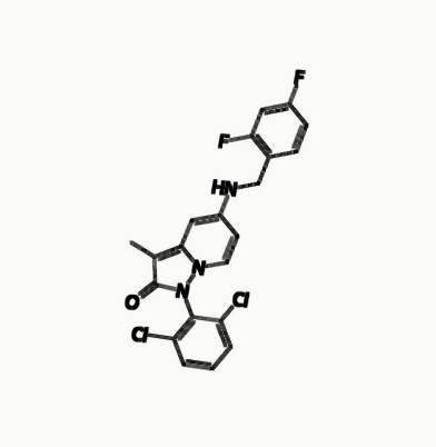 Cc1c(=O)n(-c2c(Cl)cccc2Cl)n2ccc(NCc3ccc(F)cc3F)cc12